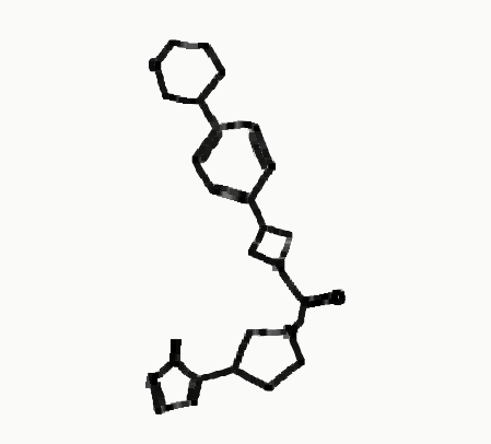 O=C(N1CC(c2ccc(C3CCCOC3)cc2)C1)N1CCC(c2ccn[nH]2)C1